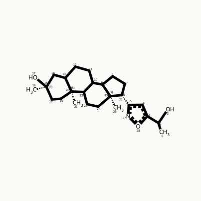 CC(O)c1cc([C@H]2CCC3C4CCC5C[C@](C)(O)CC[C@]5(C)C4CC[C@@]32C)no1